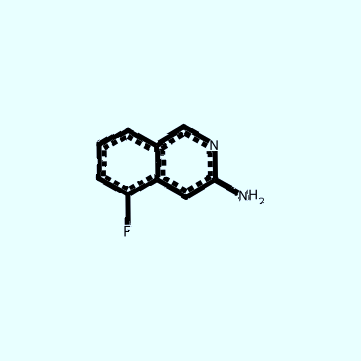 Nc1cc2c(F)cccc2cn1